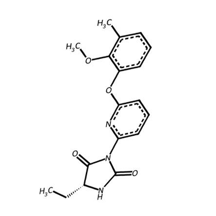 CC[C@H]1NC(=O)N(c2cccc(Oc3cccc(C)c3OC)n2)C1=O